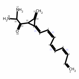 C=C\C=C/C=C\C=C/C=C1\C(=C)C1C(=O)C(N)N